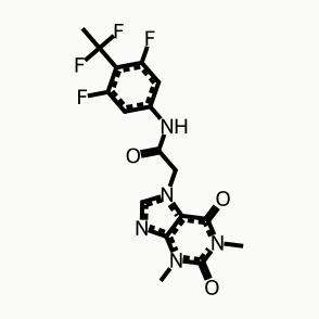 Cn1c(=O)c2c(ncn2CC(=O)Nc2cc(F)c(C(C)(F)F)c(F)c2)n(C)c1=O